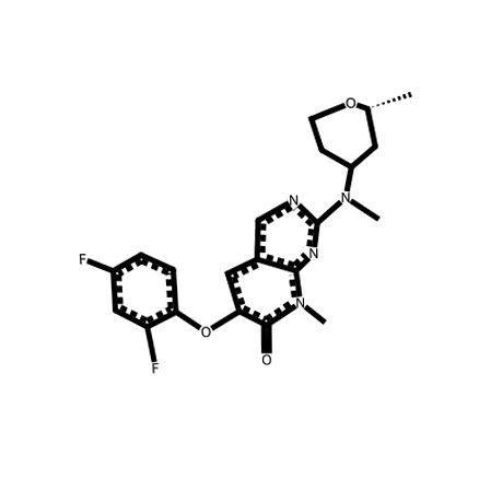 C[C@@H]1CC(N(C)c2ncc3cc(Oc4ccc(F)cc4F)c(=O)n(C)c3n2)CCO1